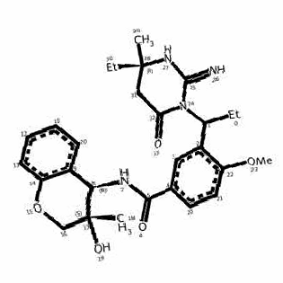 CCC(c1cc(C(=O)N[C@@H]2c3ccccc3OC[C@@]2(C)O)ccc1OC)N1C(=N)N[C@](C)(CC)CC1=O